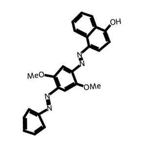 COc1cc(/N=N/c2ccc(O)c3ccccc23)c(OC)cc1/N=N/c1ccccc1